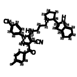 Cc1ccc(C(=O)c2nn(-c3ccc(Cl)cc3)c(NCCCN3CCCC3c3cc4ccccc4[nH]3)c2C#N)cc1